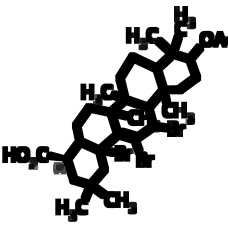 CC(=O)OC1CCC2(C)C(CCC3(C)C2C(Br)C(Br)=C2C4(Br)CC(C)(C)C[C@@H](C(=O)O)C4CCC23C)C1(C)C